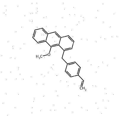 C=Cc1ccc(Cc2cccc3cc4ccccc4c(OC)c23)cc1